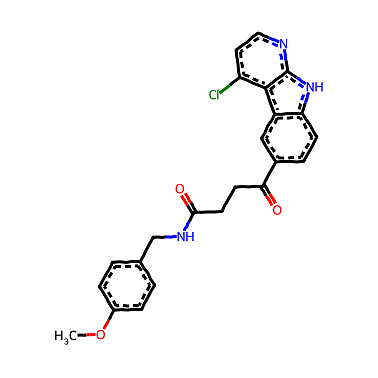 COc1ccc(CNC(=O)CCC(=O)c2ccc3[nH]c4nccc(Cl)c4c3c2)cc1